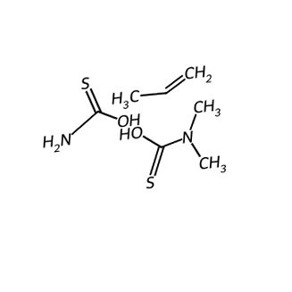 C=CC.CN(C)C(O)=S.NC(O)=S